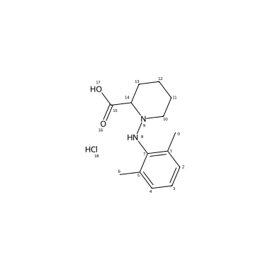 Cc1cccc(C)c1NN1CCCCC1C(=O)O.Cl